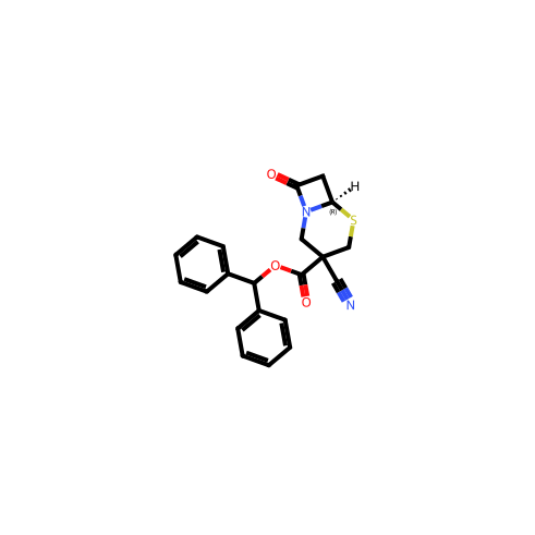 N#CC1(C(=O)OC(c2ccccc2)c2ccccc2)CS[C@@H]2CC(=O)N2C1